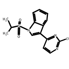 CC(C)S(=O)(=O)n1cc(-c2ccnc(Cl)n2)c2ccccc21